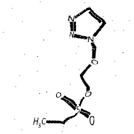 CCS(=O)(=O)OCOn1ccnn1